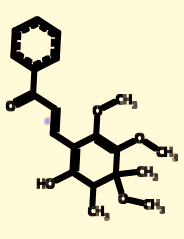 COC1=C(OC)C(C)(OC)C(C)C(O)=C1/C=C/C(=O)c1ccccc1